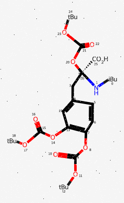 CCC(C)N[C@@](Cc1ccc(OC(=O)OC(C)(C)C)c(OC(=O)OC(C)(C)C)c1)(OC(=O)OC(C)(C)C)C(=O)O